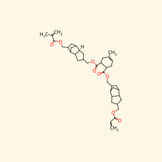 C=CC(=O)OCC1CC2C3CC(COC(=O)C4CC=C(C)CC4C(=O)OCC4CC5C6CC(CC6COC(=O)C(=C)C)[C@H]5C4)C(C3)C2C1